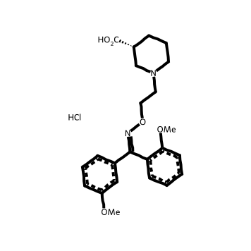 COc1cccc(/C(=N/OCCN2CCC[C@@H](C(=O)O)C2)c2ccccc2OC)c1.Cl